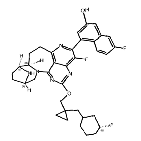 Oc1cc(-c2nc3c4c(nc(OCC5(CC6CCC[C@@H](F)C6)CC5)nc4c2F)N2C[C@H]4CC[C@H](N4)[C@H]2CC3)c2ccc(F)cc2c1